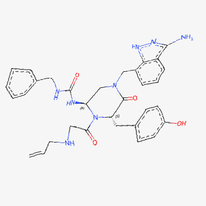 C=CCNCC(=O)N1[C@@H](NC(=O)NCc2ccccc2)CN(Cc2cccc3c(N)n[nH]c23)C(=O)[C@@H]1Cc1ccc(O)cc1